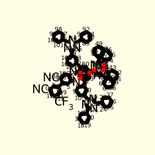 N#Cc1cc(-c2cc(-n3c4ccc(-c5nc(-c6ccccc6)nc(-c6ccccc6)n5)cc4c4cc(-c5nc(-c6ccccc6)nc(-c6ccccc6)n5)ccc43)c(-n3c4ccc(-c5nc(-c6ccccc6)nc(-c6ccccc6)n5)cc4c4cc(-c5nc(-c6ccccc6)nc(-c6ccccc6)n5)ccc43)cc2C#N)cc(C(F)(F)F)c1